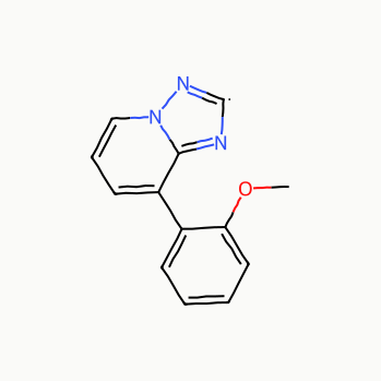 COc1ccccc1-c1cccn2n[c]nc12